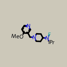 COc1ccncc1CN1CCC(N(F)C(C)C)CC1